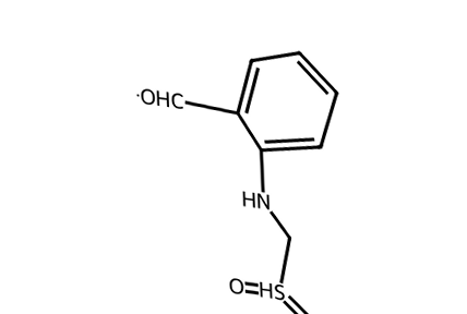 O=[C]c1ccccc1NC[SH](=O)=O